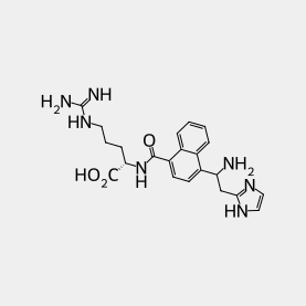 N=C(N)NCCC[C@H](NC(=O)c1ccc(C(N)Cc2ncc[nH]2)c2ccccc12)C(=O)O